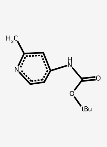 Cc1cc(NC(=O)OC(C)(C)C)ccn1